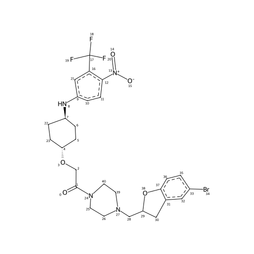 O=C(CO[C@H]1CC[C@H](Nc2ccc([N+](=O)[O-])c(C(F)(F)F)c2)CC1)N1CCN(CC2Cc3cc(Br)ccc3O2)CC1